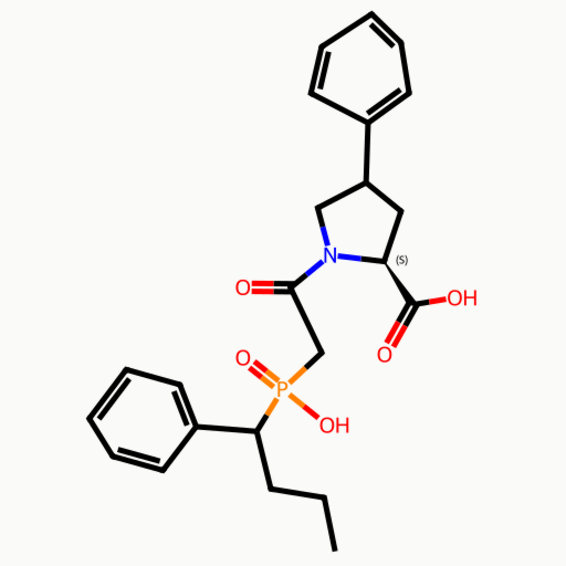 CCCC(c1ccccc1)P(=O)(O)CC(=O)N1CC(c2ccccc2)C[C@H]1C(=O)O